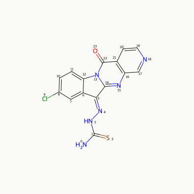 NC(=S)NN=C1c2cc(Cl)ccc2-n2c1nc1cnccc1c2=O